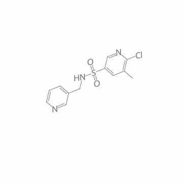 Cc1cc(S(=O)(=O)NCc2cccnc2)cnc1Cl